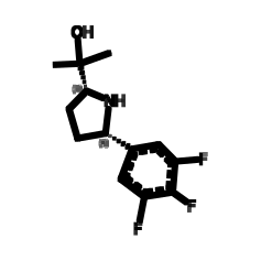 CC(C)(O)[C@H]1CC[C@@H](c2cc(F)c(F)c(F)c2)N1